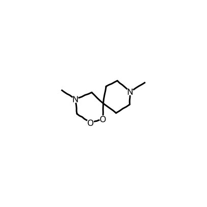 CN1CCC2(CC1)CN(C)COO2